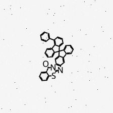 O=c1c2ccccc2sc2nc3cc4c(cc3n12)C1(c2ccccc2-4)c2ccccc2-c2c(-c3ccccc3)cccc21